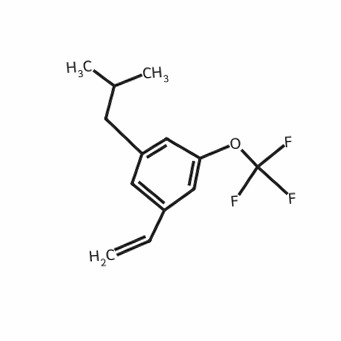 C=Cc1cc(CC(C)C)cc(OC(F)(F)F)c1